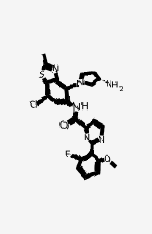 COc1cccc(F)c1-c1nccc(C(=O)Nc2cc(Cl)c3sc(C)nc3c2N2CC[C@H](N)C2)n1